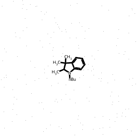 CCCCN1c2ccccc2C(C)(C)C1C